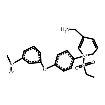 CCS(=O)(=O)[N+]1(c2ccc(Oc3cccc([S+](C)[O-])c3)cc2)C=C(CN)C=CC1